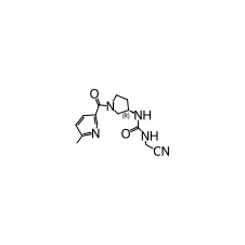 Cc1ccc(C(=O)N2CC[C@@H](NC(=O)NCC#N)C2)cn1